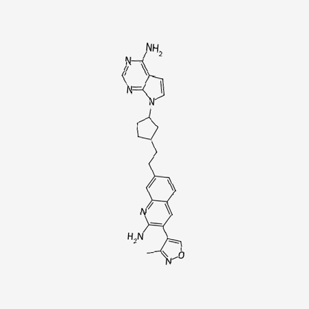 Cc1nocc1-c1cc2ccc(CCC3CCC(n4ccc5c(N)ncnc54)C3)cc2nc1N